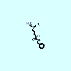 CCN(CC)CCCNC(=O)NCc1ccccc1